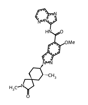 COc1cc2nn([C@@H]3CC[C@]4(CC(=O)N(C)C4)C[C@H]3C)cc2cc1C(=O)Nc1cnc2cccnn12